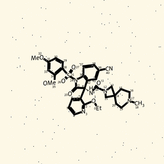 CCOc1ncccc1[C@@]1(NC(=O)N2CC3(CCN(C)CC3)C2)C(=O)N(S(=O)(=O)c2ccc(OC)cc2OC)c2ccc(C#N)cc21